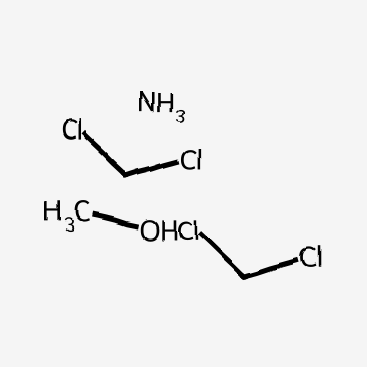 CO.ClCCl.ClCCl.N